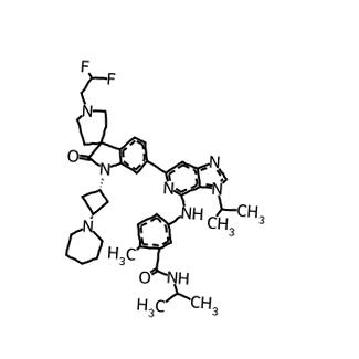 Cc1ccc(Nc2nc(-c3ccc4c(c3)N([C@H]3C[C@@H](N5CCCCC5)C3)C(=O)C43CCN(CC(F)F)CC3)cc3ncn(C(C)C)c23)cc1C(=O)NC(C)C